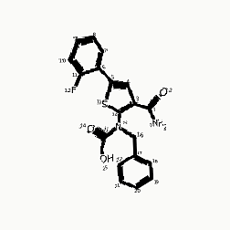 NC(=O)c1cc(-c2ccccc2F)sc1N(Cc1ccccc1)C(=O)O